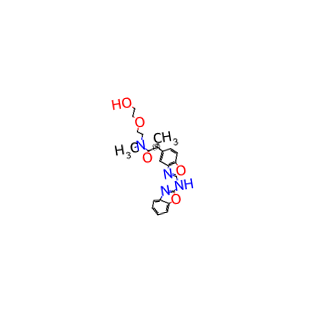 C[C@H](C(=O)N(C)CCOCCO)c1ccc2oc(Nc3nc4ccccc4o3)nc2c1